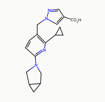 O=C(O)c1cnn(Cc2ccc(N3CC4CC4C3)nc2C2CC2)c1